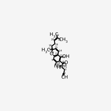 C#CCNC(=O)c1c(CCCCC)cc2c(c1O)C=CC(C)(CCC=C(C)C)O2